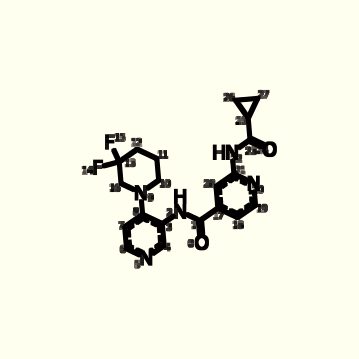 O=C(Nc1cnccc1N1CCCC(F)(F)C1)c1ccnc(NC(=O)C2CC2)c1